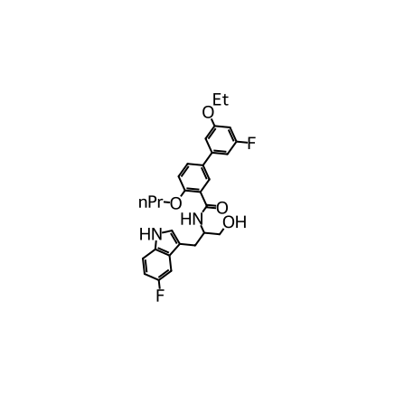 CCCOc1ccc(-c2cc(F)cc(OCC)c2)cc1C(=O)NC(CO)Cc1c[nH]c2ccc(F)cc12